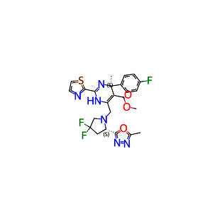 COC(=O)C1=C(CN2CC(F)(F)C[C@H]2c2nnc(C)o2)NC(c2nccs2)=N[C@@]1(C)c1ccc(F)cc1